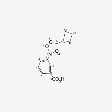 O=C(O)c1cccc(N2OOC(C3CCC3)O2)c1